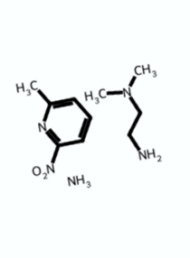 CN(C)CCN.Cc1cccc([N+](=O)[O-])n1.N